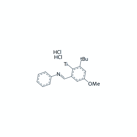 COc1cc(C=Nc2ccccc2)[c]([Ti])c(C(C)(C)C)c1.Cl.Cl